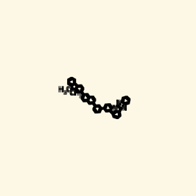 CC1(C)c2ccccc2-c2ccc(-c3ccc4cc(-c5cccc(-c6ccc7c(c6)c6cccc8c9nc%10ccccc%10nc9n7c68)c5)ccc4c3)cc21